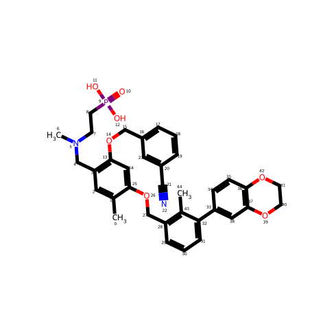 Cc1cc(CN(C)CCP(=O)(O)O)c(OCc2cccc(C#N)c2)cc1OCc1cccc(-c2ccc3c(c2)OCCO3)c1C